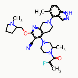 C=C(F)C(=O)N1CCN(c2c(C#N)c(OCC3CCCN3C)nc3c2CCN(c2c(C)ccc4[nH]ncc24)C3)CC1C